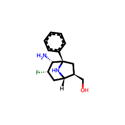 N[C@H]1[C@@H](F)C[C@@H]2N[C@@]1(c1ccccc1)C[C@H]2CO